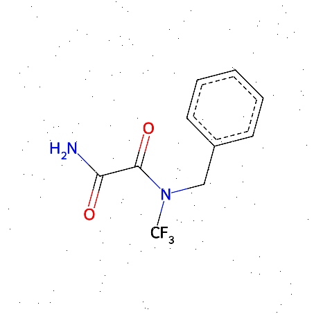 NC(=O)C(=O)N(Cc1ccccc1)C(F)(F)F